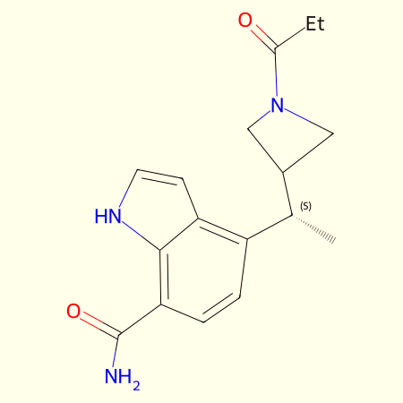 CCC(=O)N1CC([C@H](C)c2ccc(C(N)=O)c3[nH]ccc23)C1